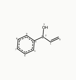 C=CB(O)c1ccccc1